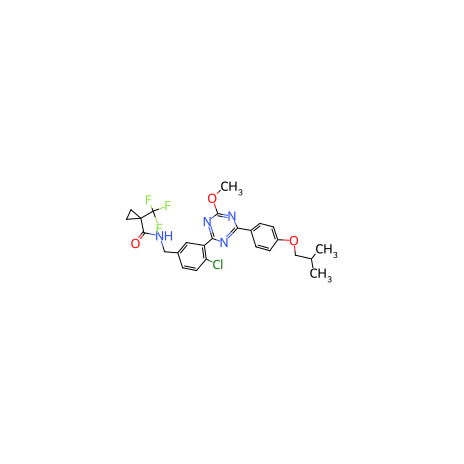 COc1nc(-c2ccc(OCC(C)C)cc2)nc(-c2cc(CNC(=O)C3(C(F)(F)F)CC3)ccc2Cl)n1